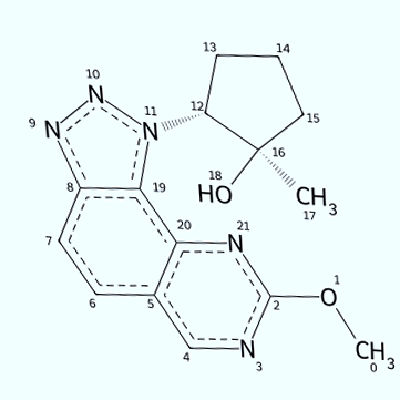 COc1ncc2ccc3nnn([C@@H]4CCC[C@@]4(C)O)c3c2n1